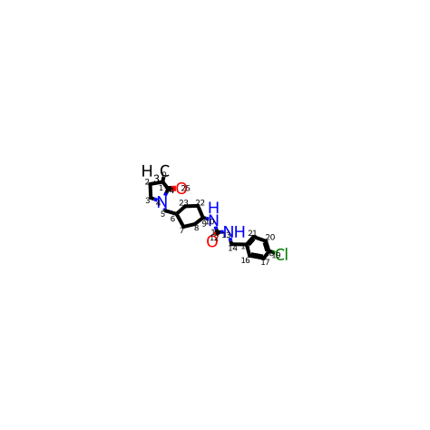 CC1CCN(CC2CCC(NC(=O)NCc3ccc(Cl)cc3)CC2)C1=O